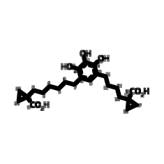 O=C(O)C1(CCCCCCc2cc(CCCCC3(C(=O)O)CC3)c(O)c(O)c2O)CC1